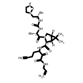 C#CCCC(NC(=O)[C@@H]1[C@@H]2[C@H](CN1C(=O)[C@@H](NC(=O)N[C@H](CN1CCNS1)C(C)(C)C)C(C)(C)C)C2(C)C)C(=O)C(=O)NCC=C